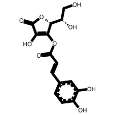 O=C(C=Cc1ccc(O)c(O)c1)OC1=C(O)C(=O)O[C@@H]1[C@@H](O)CO